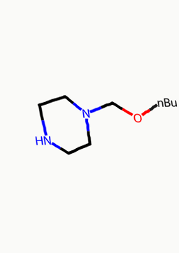 CCCCOCN1CCNCC1